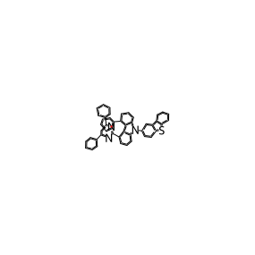 c1ccc(-c2cc(-c3ccccc3)nc(-c3cccc4c3c3c(-c5ccccc5)cccc3n4-c3ccc4sc5ccccc5c4c3)n2)cc1